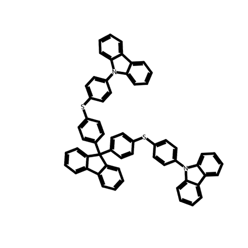 c1ccc2c(c1)-c1ccccc1C2(c1ccc(Sc2ccc(-n3c4ccccc4c4ccccc43)cc2)cc1)c1ccc(Sc2ccc(-n3c4ccccc4c4ccccc43)cc2)cc1